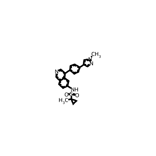 Cn1cc(-c2ccc(-c3cncc4ccc(NS(=O)(=O)C5(C)CC5)cc34)cc2)cn1